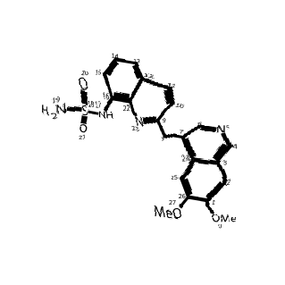 COc1cc2cncc(Cc3ccc4cccc(NS(N)(=O)=O)c4n3)c2cc1OC